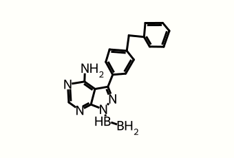 BBn1nc(-c2ccc(Cc3ccccc3)cc2)c2c(N)ncnc21